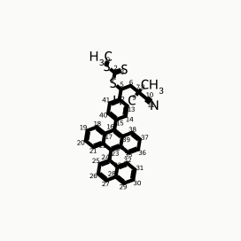 CSC(=S)SC(CC(C)(C)C#N)c1ccc(-c2c3ccccc3c(-c3cccc4ccccc34)c3ccccc23)cc1